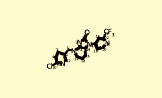 O=c1nc2n(Cc3ccc(Cl)nc3)cccc-2n1-c1ccnc(C(F)(F)F)c1